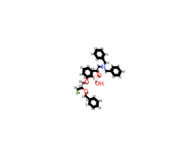 OB1O[C@H](CN(Cc2ccccc2)Cc2ccccc2)c2cccc(OC[C@@H](CF)OCc3ccccc3)c21